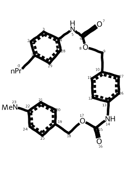 CCCc1ccc(NC(=O)OCc2ccc(NC(=O)OCc3ccc(NC)cc3)cc2)cc1